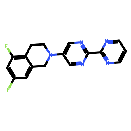 Fc1cc(F)c2c(c1)CN(c1cnc(-c3ncccn3)nc1)CC2